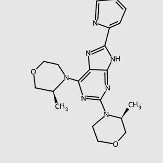 C[C@H]1COCCN1c1nc(N2CCOC[C@@H]2C)c2nc(-c3ccccn3)[nH]c2n1